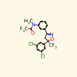 CN(C(=O)C(F)(F)F)c1cccc(C2=NOC(c3cc(Cl)cc(Cl)c3)(C(F)(F)F)C2)c1